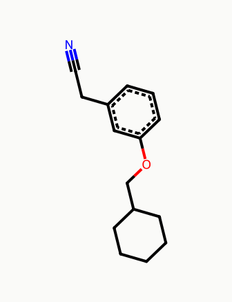 N#CCc1cccc(OCC2CCCCC2)c1